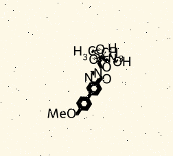 COCc1ccc(-c2ccc3c(=O)n(CC[C@](C)(C(=O)NO)S(C)(=O)=O)cnc3c2)cc1